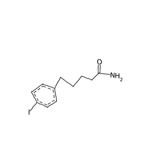 NC(=O)CCCCc1ccc(I)cc1